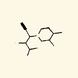 C#CC(C(C(C)C)C(CC)C(C)CC)N1CCC(C)C(C)C1